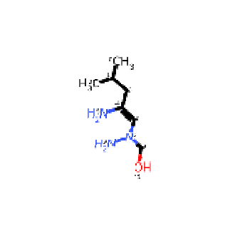 CC(C)C/C(N)=C/N(N)CO